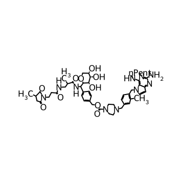 CCCCCNc1nc(N)nc2ccn(Cc3ccc(CN4CCN(C(=O)OCc5ccc(C(NC(=O)C(C)CNC(=O)CCN6C(=O)CC(C)C6=O)C6OC[C@@H](O)[C@@H](O)[C@H]6O)cc5)CC4)cc3C)c12